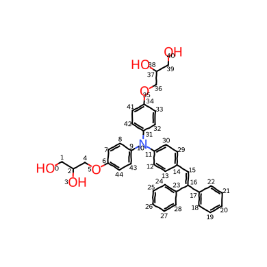 OCC(O)COc1ccc(N(c2ccc(C=C(c3ccccc3)c3ccccc3)cc2)c2ccc(OCC(O)CO)cc2)cc1